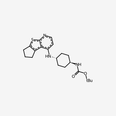 CC(C)(C)OC(=O)N[C@H]1CC[C@H](Nc2ccnc3sc4c(c23)CCC4)CC1